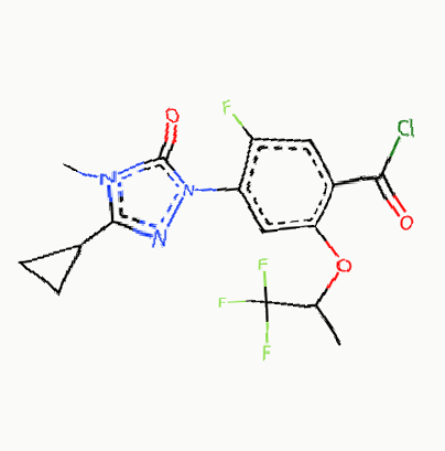 CC(Oc1cc(-n2nc(C3CC3)n(C)c2=O)c(F)cc1C(=O)Cl)C(F)(F)F